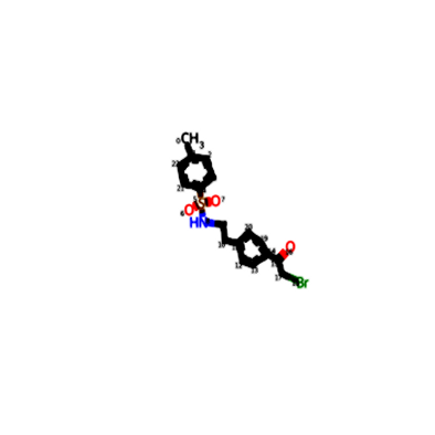 Cc1ccc(S(=O)(=O)NCCc2ccc(C(=O)CBr)cc2)cc1